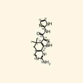 CC1(C)Cc2cnc(N)nc2-c2[nH]nc(C(=O)Nc3ncc[nH]3)c21